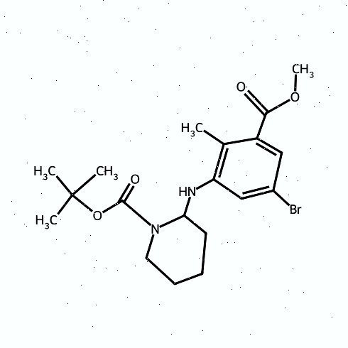 COC(=O)c1cc(Br)cc(NC2CCCCN2C(=O)OC(C)(C)C)c1C